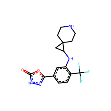 O=c1[nH]nc(-c2ccc(C(F)(F)F)c(NC3CC34CCNCC4)c2)o1